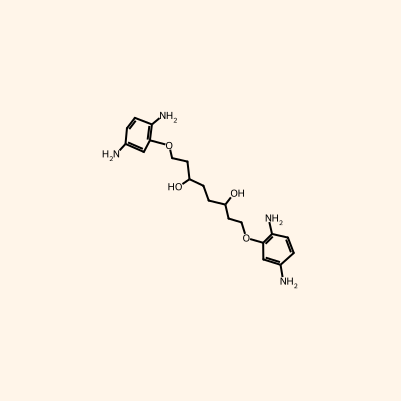 Nc1ccc(N)c(OCCC(O)CCC(O)CCOc2cc(N)ccc2N)c1